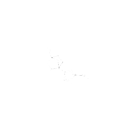 Nc1cc(C23CCC(C(F)(F)F)(CC2)C3)no1